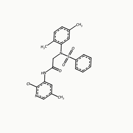 Cc1cnc(Cl)c(NC(=O)CN(c2cc(C)ccc2C)S(=O)(=O)c2ccccc2)c1